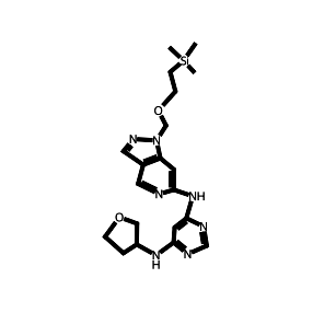 C[Si](C)(C)CCOCn1ncc2cnc(Nc3cc(NC4CCOC4)ncn3)cc21